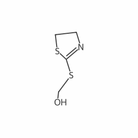 OCSC1=NCCS1